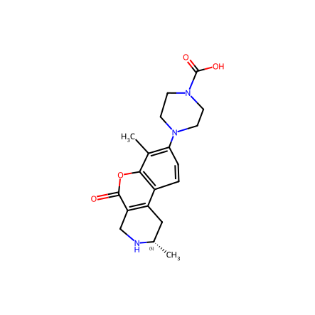 Cc1c(N2CCN(C(=O)O)CC2)ccc2c3c(c(=O)oc12)CN[C@@H](C)C3